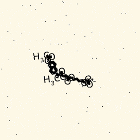 CC(=O)Oc1ccc2cc(C(C)C(=O)OCC(=O)OCCCCO[N+](=O)[O-])ccc2c1